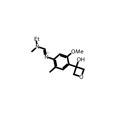 CCN(C)/C=N/c1cc(OC)c(C2(O)COC2)cc1C